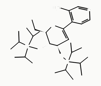 CC[C@H]1OC(c2ccncc2N)=C[C@@H](O[Si](C(C)C)(C(C)C)C(C)C)[C@@H]1O[Si](C(C)C)(C(C)C)C(C)C